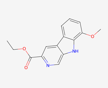 CCOC(=O)c1cc2c(cn1)[nH]c1c(OC)cccc12